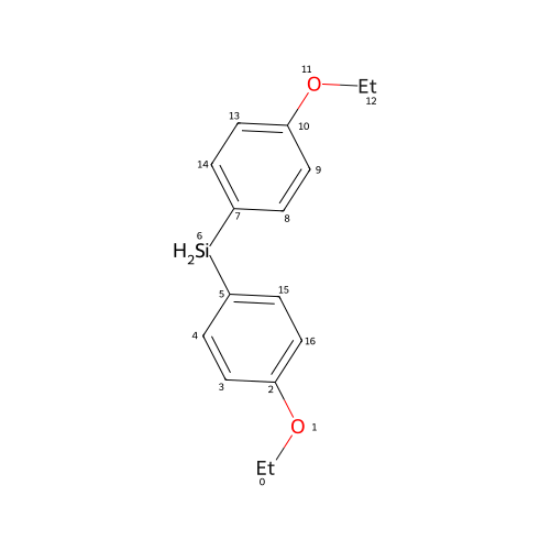 CCOc1ccc([SiH2]c2ccc(OCC)cc2)cc1